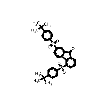 CC(C)(C)c1ccc(S(=O)(=O)c2ccc3c(c2)C(=O)c2cccc(S(=O)(=O)c4ccc(C(C)(C)C)cc4)c2-3)cc1